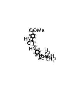 COC(=O)c1ccc2c(c1)NC(=O)C2=CCCNc1ccc(N(CCC(C)(C)N)C(C)=O)cc1